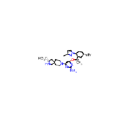 CCCc1ccc(-n2ccc(C)n2)c([C@@H](Oc2cc(N3CCC4(CC3)CN[C@H](C(=O)O)C4)nc(N)n2)C(F)(F)F)c1